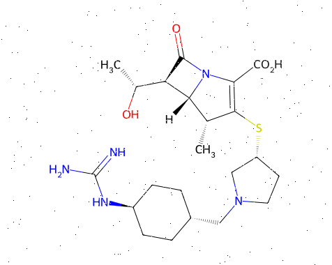 C[C@@H](O)[C@H]1C(=O)N2C(C(=O)O)=C(S[C@@H]3CCN(C[C@H]4CC[C@H](NC(=N)N)CC4)C3)[C@H](C)[C@H]12